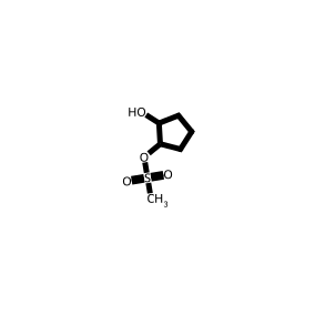 CS(=O)(=O)OC1CCCC1O